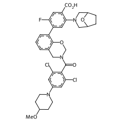 COC1CCN(c2cc(Cl)c(C(=O)N3COc4c(cccc4-c4cc(N5CC6CCC(C5)O6)c(C(=O)O)cc4F)C3)c(Cl)c2)CC1